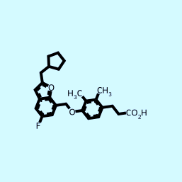 Cc1c(CCC(=O)O)ccc(OCc2cc(F)cc3cc(CC4CCCC4)oc23)c1C